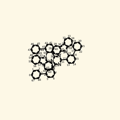 c1ccc(-c2cccc(-c3nc(-c4cccc(-c5ccccc5)c4-n4c5ccccc5c5ccccc54)nc(-c4cccc(-c5ccccc5)c4-n4c5ccccc5c5ccccc54)n3)c2)cc1